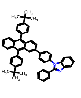 CC(C)(C)c1ccc(-c2c3ccccc3c(-c3ccc(C(C)(C)C)cc3)c3cc(-c4ccc(-n5c(-c6ccccc6)nc6ccccc65)cc4)ccc23)cc1